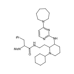 CNC(CC(C)C)C(=O)NCCC1C(Nc2nccc(N3CCCCCC3)n2)CCCN1C1CCCCC1